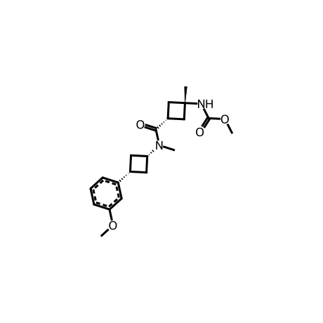 COC(=O)N[C@]1(C)C[C@H](C(=O)N(C)[C@H]2C[C@@H](c3cccc(OC)c3)C2)C1